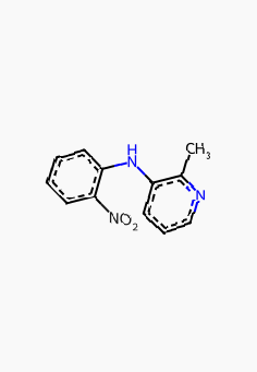 Cc1ncccc1Nc1ccccc1[N+](=O)[O-]